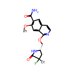 CC[C@]1(F)C[C@@H](COc2nccc3cc(C(N)=O)c(OC(C)C)cc23)NC1=O